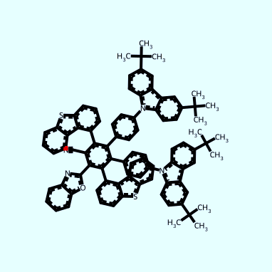 CC(C)(C)c1ccc2c(c1)c1cc(C(C)(C)C)ccc1n2-c1ccc(-c2c(-c3cccc4sc5ccccc5c34)c(C#N)c(-c3nc4ccccc4o3)c(-c3cccc4sc5ccccc5c34)c2-c2ccc(-n3c4ccc(C(C)(C)C)cc4c4cc(C(C)(C)C)ccc43)cc2)cc1